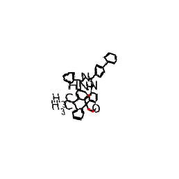 CC1(C)c2ccccc2C2(c3ccccc3Oc3ccc(C4=NC(c5ccc(-c6ccccc6)cc5)=NC(c5ccccc5)N4)cc32)c2ccccc21